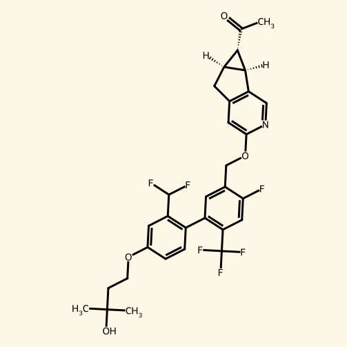 CC(=O)[C@H]1[C@@H]2Cc3cc(OCc4cc(-c5ccc(OCCC(C)(C)O)cc5C(F)F)c(C(F)(F)F)cc4F)ncc3[C@@H]21